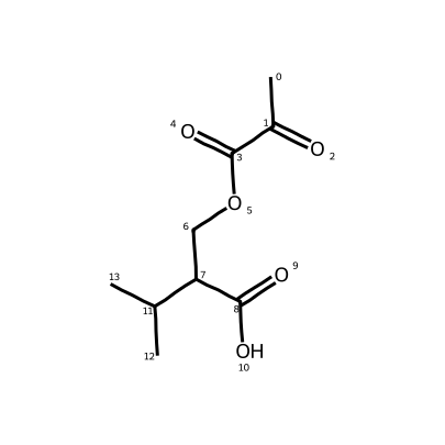 CC(=O)C(=O)OCC(C(=O)O)C(C)C